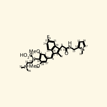 COc1cc(/C=C2/C(C)=C(CC(=O)NCc3cccn3C)c3cc(F)ccc32)cc(OC)c1N(CCN(C)C)C(=O)O